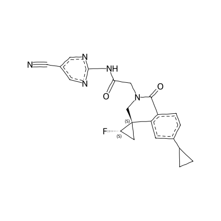 N#Cc1cnc(NC(=O)CN2C[C@]3(C[C@@H]3F)c3cc(C4CC4)ccc3C2=O)nc1